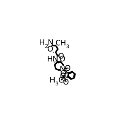 CC(C[CH]C(=O)N[C@H]1CCCN(S(=O)(=O)c2ccccc2S(C)(=O)=O)CC1=O)C(N)=O